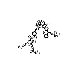 CC[C@@]1(OC(=O)OCc2ccc(NC(=O)[C@H](CCCCN)NC(=O)COCC(N)=O)cc2)C(=O)OCc2c1cc1n(c2=O)Cc2c-1nc1ccccc1c2CCN(C)C(C)C